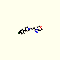 Clc1ccc(C2=CCN(CCCc3nnc4n3CCOCC4)CC2)cc1